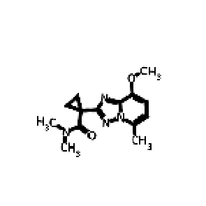 COc1ccc(C)n2nc(C3(C(=O)N(C)C)CC3)nc12